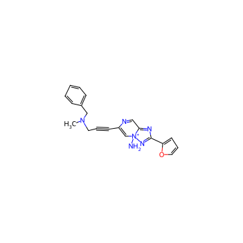 CN(CC#CC1=C[N+]2(N)N=C(c3ccco3)N=C2C=N1)Cc1ccccc1